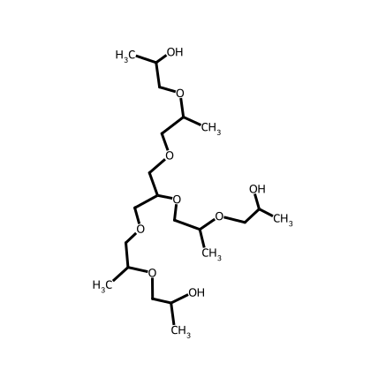 CC(O)COC(C)COCC(COCC(C)OCC(C)O)OCC(C)OCC(C)O